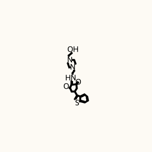 O=C1CC(c2csc3ccccc23)CC(=O)C1=CNCCN1CCN(CCO)CC1